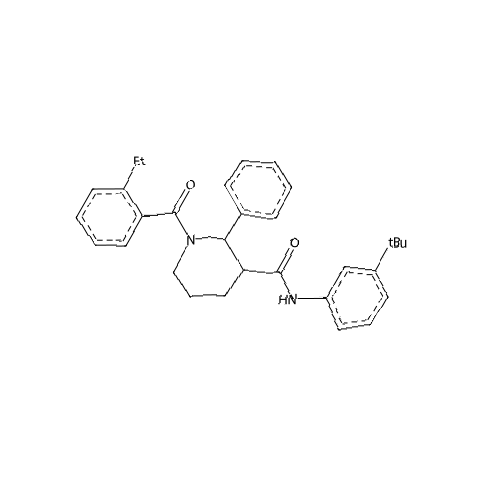 CCc1ccccc1C(=O)N1CCCC(C(=O)Nc2cccc(C(C)(C)C)c2)C1c1ccccc1